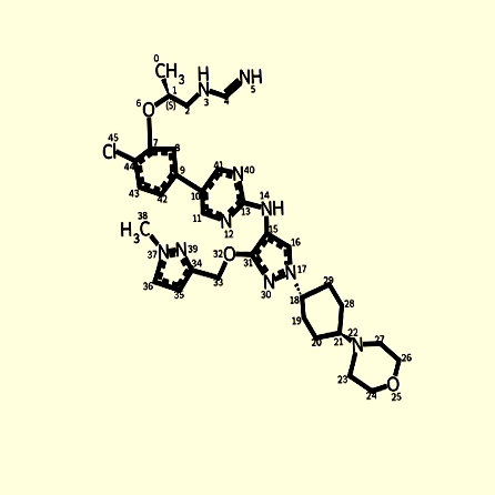 C[C@@H](CNC=N)Oc1cc(-c2cnc(Nc3cn([C@H]4CC[C@H](N5CCOCC5)CC4)nc3OCc3ccn(C)n3)nc2)ccc1Cl